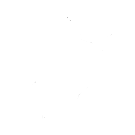 COc1cc(C2(C#N)CC2)ccc1Br